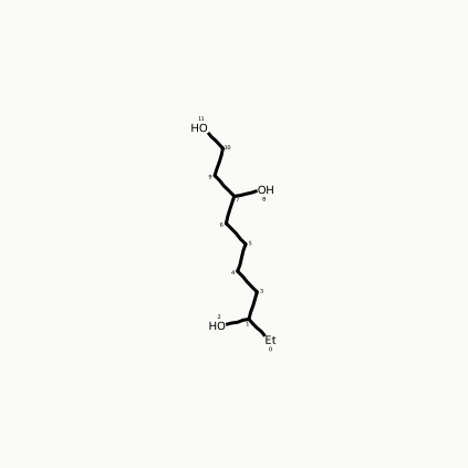 CCC(O)CCCCC(O)CCO